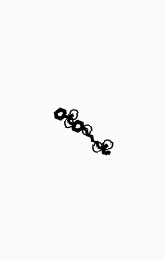 C=CC(=O)OCCCCOc1ccc(OC(=O)c2ccccc2)cc1